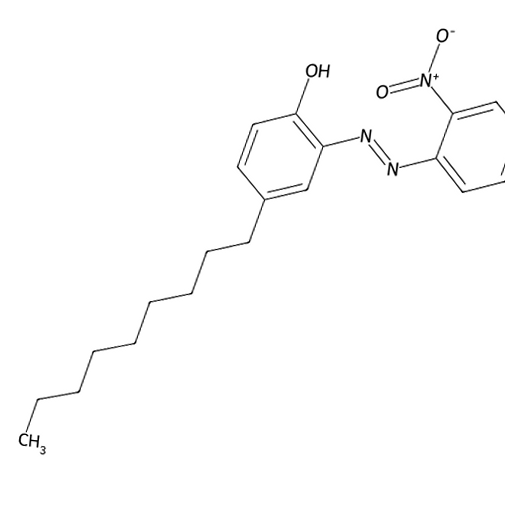 CCCCCCCCCc1ccc(O)c(N=Nc2ccccc2[N+](=O)[O-])c1